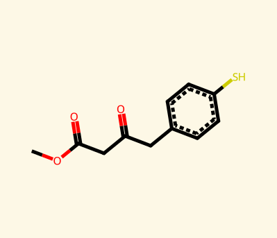 COC(=O)CC(=O)Cc1ccc(S)cc1